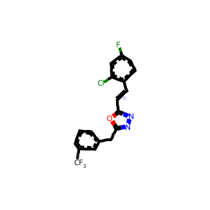 Fc1ccc(/C=C/c2nnc(Cc3cccc(C(F)(F)F)c3)o2)c(Cl)c1